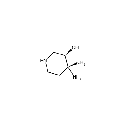 C[C@@]1(N)CCNC[C@H]1O